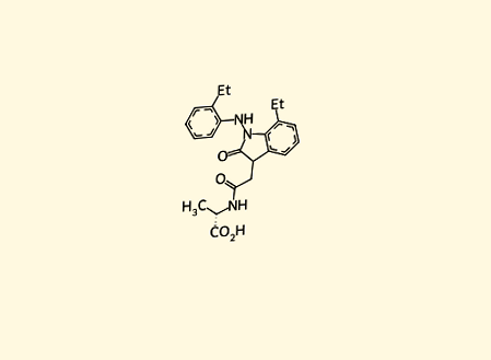 CCc1ccccc1NN1C(=O)C(CC(=O)N[C@@H](C)C(=O)O)c2cccc(CC)c21